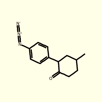 CC1CCC(=O)C(c2ccc(N=[N+]=[N-])cc2)C1